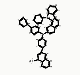 CC1C=C(c2ccc(N(c3ccc(-c4ccccc4)cc3)c3ccc4ccc5c6ccccc6n(-c6ccccc6)c5c4c3)cc2)C=C2C=CC=CC21